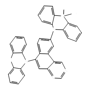 C[Si]1(C)c2ccccc2N(c2ccc3c(N4c5ccccc5Oc5ccccc54)cc4ncncc4c3c2)c2ccccc21